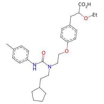 CCOC(Cc1ccc(OCCN(CCC2CCCC2)C(=O)Nc2ccc(C)cc2)cc1)C(=O)O